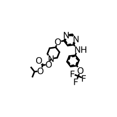 CC(C)OC(=O)ON1CCC(Oc2cc(Nc3cccc(OC(F)(F)F)c3)ncn2)CC1